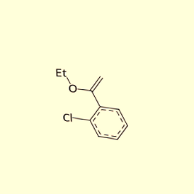 C=C(OCC)c1ccccc1Cl